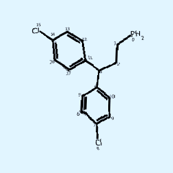 PCCC(c1ccc(Cl)cc1)c1ccc(Cl)cc1